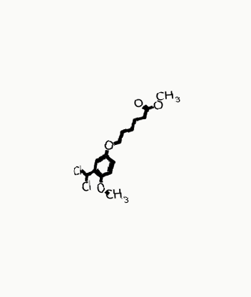 COC(=O)CCCCCOc1ccc(OC)c(C(Cl)Cl)c1